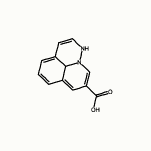 O=C(O)C1=CN2NC=CC3=CC=CC(=C1)C32